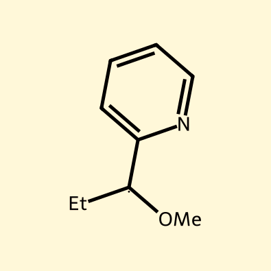 CC[C](OC)c1ccccn1